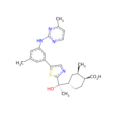 Cc1cc(Nc2nccc(C)n2)cc(-c2cnc([C@](C)(O)[C@H]3CC[C@H](C(=O)O)[C@H](C)C3)s2)c1